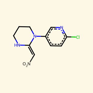 O=[N+]([O-])C=C1NCCCN1c1ccc(Cl)nc1